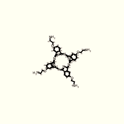 NCCOc1ccc2c(c1)-c1nc-2nc2[nH]c(nc3nc(nc4[nH]c(n1)c1ccc(OCCN)cc41)-c1ccc(OCCN)cc1-3)c1ccc(OCCN)cc21